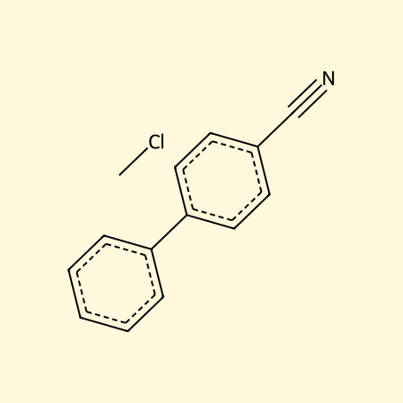 CCl.N#Cc1ccc(-c2ccccc2)cc1